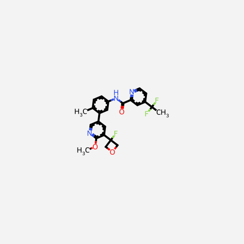 COc1ncc(-c2cc(NC(=O)c3cc(C(C)(F)F)ccn3)ccc2C)cc1C1(F)COC1